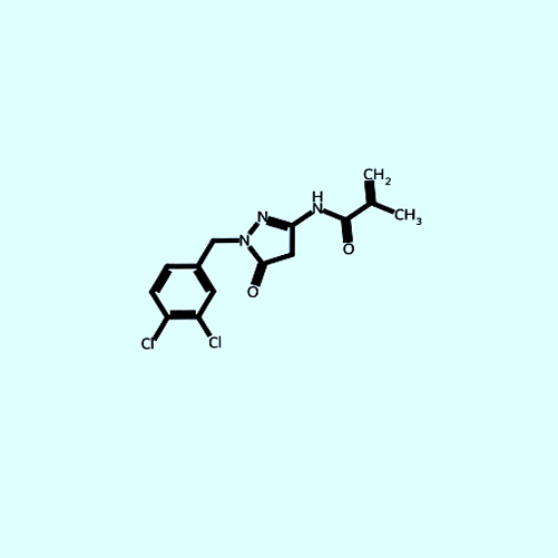 C=C(C)C(=O)NC1=NN(Cc2ccc(Cl)c(Cl)c2)C(=O)C1